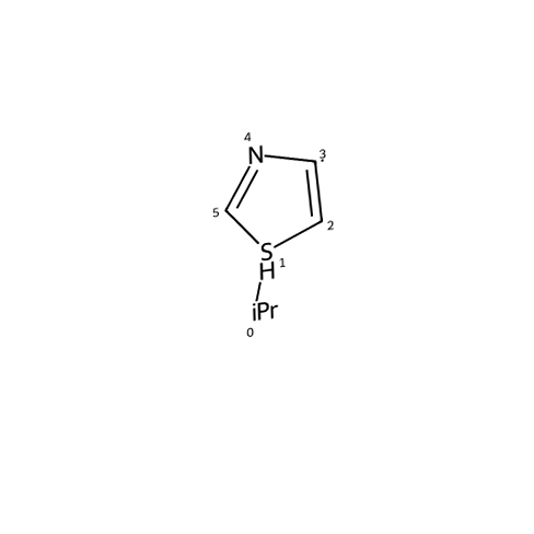 CC(C)[SH]1C=[C]N=C1